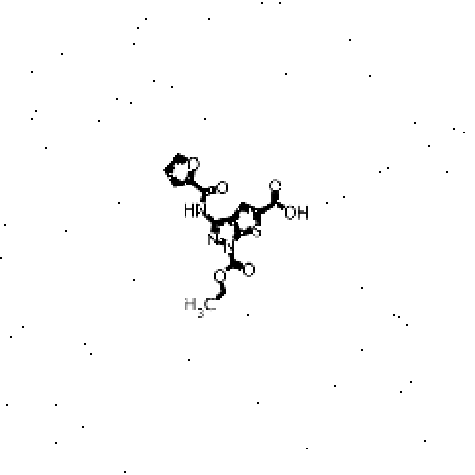 CCOC(=O)n1nc(NC(=O)c2ccco2)c2cc(C(=O)O)sc21